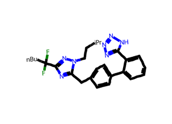 CCCCC(F)(F)c1nc(Cc2ccc(-c3ccccc3-c3nnn[nH]3)cc2)n(CCC(C)C)n1